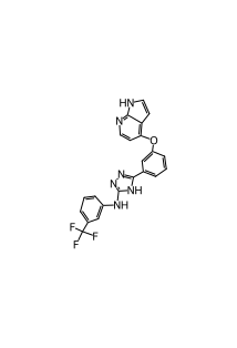 FC(F)(F)c1cccc(Nc2nnc(-c3cccc(Oc4ccnc5[nH]ccc45)c3)[nH]2)c1